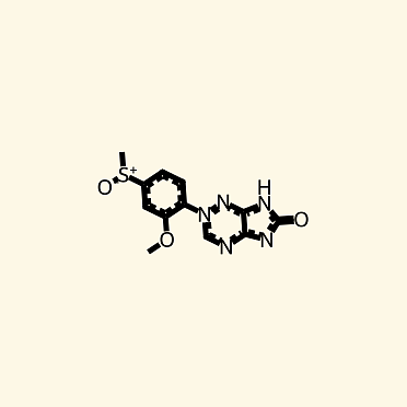 COc1cc([S+](C)[O-])ccc1-n1cnc2nc(=O)[nH]c-2n1